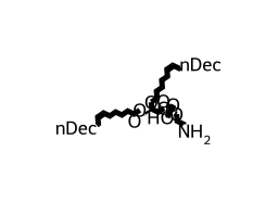 CCCCCCCCCCC/C=C\CCCCC(=O)OC[C@H](COP(=O)(O)OCCN)OC(=O)CCCC/C=C\CCCCCCCCCCC